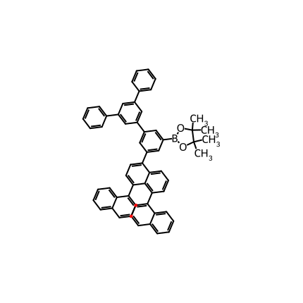 CC1(C)OB(c2cc(-c3cc(-c4ccccc4)cc(-c4ccccc4)c3)cc(-c3ccc(-c4cccc5ccccc45)c4c(-c5cccc6ccccc56)cccc34)c2)OC1(C)C